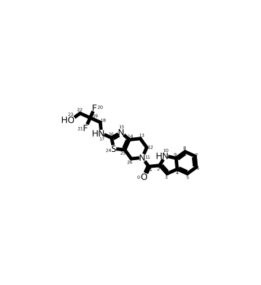 O=C(c1cc2ccccc2[nH]1)N1CCc2nc(NCC(F)(F)CO)sc2C1